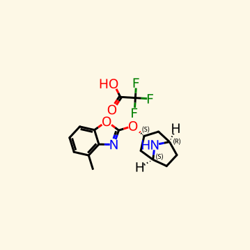 Cc1cccc2oc(O[C@@H]3C[C@H]4CC[C@@H](C3)N4)nc12.O=C(O)C(F)(F)F